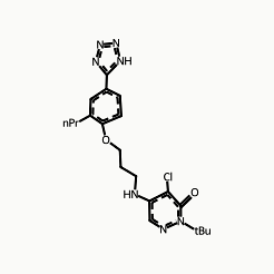 CCCc1cc(-c2nnn[nH]2)ccc1OCCCNc1cnn(C(C)(C)C)c(=O)c1Cl